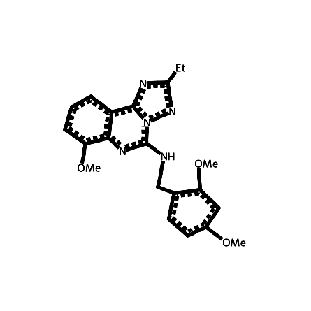 CCc1nc2c3cccc(OC)c3nc(NCc3ccc(OC)cc3OC)n2n1